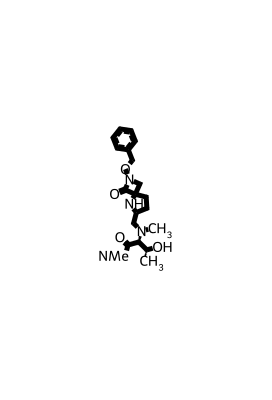 CNC(=O)[C@H]([C@@H](C)O)N(C)CC1CCC2(CN(OCc3ccccc3)C2=O)N1